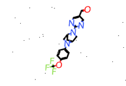 O=Cc1cnc(N2CC3CC2CN3c2ccc(OC(F)(F)F)cc2)nc1